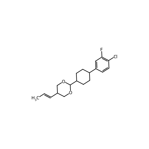 CC=CC1COC(C2CCC(c3ccc(Cl)c(F)c3)CC2)OC1